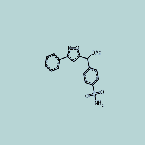 CC(=O)OC(c1ccc(S(N)(=O)=O)cc1)c1cc(-c2ccccc2)no1